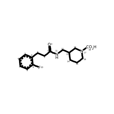 O=C(CCc1ccccc1F)NCC1CCCN(C(=O)O)C1